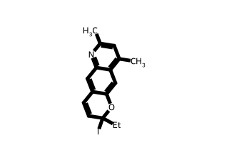 CCC1(I)C=Cc2cc3nc(C)cc(C)c3cc2O1